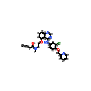 CNCC(=O)N(C)CCOc1cccc2ncnc(Nc3ccc(OCc4ccccn4)c(Cl)c3)c12